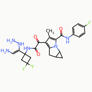 Cc1c(C(=O)C(=O)NC2(/C(=C/N)NN)CC(F)(F)C2)c2n(c1C(=O)Nc1ccc(F)cc1)C1CC1C2